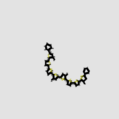 Cc1cc(-c2ccccc2)sc1-c1ccc(-c2ccc(-c3sc(-c4cc(C)c(-c5ccc(-c6ccc(-c7sc(-c8ccccc8)cc7C)s6)s5)s4)cc3C)s2)s1